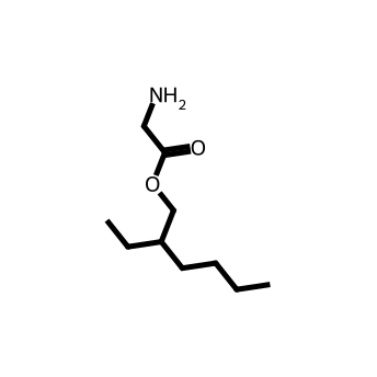 CCCCC(CC)COC(=O)CN